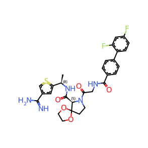 C[C@@H](NC(=O)[C@H]1N(C(=O)CNC(=O)c2ccc(-c3ccc(F)cc3F)cc2)CCC12OCCO2)c1cc(C(=N)N)cs1